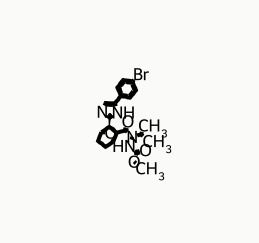 COC(=O)NN(C(=O)C1C2CCC(O2)[C@H]1c1ncc(-c2ccc(Br)cc2)[nH]1)C(C)C